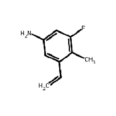 C=Cc1cc(N)cc(F)c1C